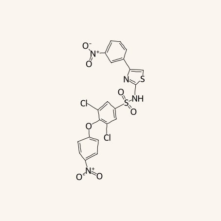 O=[N+]([O-])c1ccc(Oc2c(Cl)cc(S(=O)(=O)Nc3nc(-c4cccc([N+](=O)[O-])c4)cs3)cc2Cl)cc1